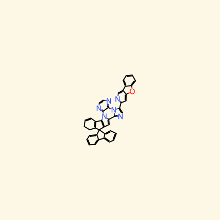 C1=CC2=C(CC1)C1(c3ccccc3-c3ccccc31)c1cc3c4ncc(-c5cc6oc7ccccc7c6cn5)n4c4nccnc4n3c12